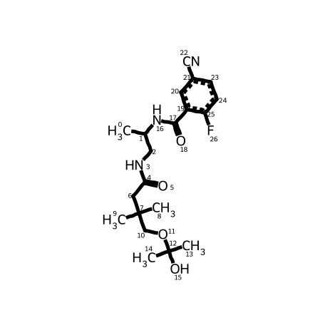 CC(CNC(=O)CC(C)(C)COC(C)(C)O)NC(=O)c1cc(C#N)ccc1F